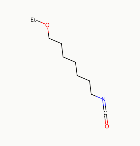 CCOCCCCCCCN=C=O